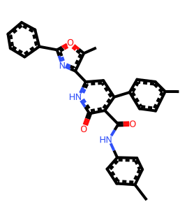 Cc1ccc(NC(=O)c2c(-c3ccc(C)cc3)cc(-c3nc(-c4ccccc4)oc3C)[nH]c2=O)cc1